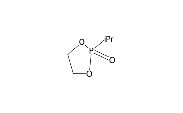 CC(C)P1(=O)OCCO1